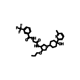 CCCOC1CN(C2CCC(O)(c3cccc(C)n3)CC2)CC1NC(=O)CNC(=O)c1cccc(C(F)(F)F)c1